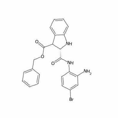 Nc1cc(Br)ccc1NC(=O)[C@H]1Nc2ccccc2C1C(=O)OCc1ccccc1